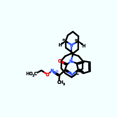 C/C(=N\OCC(=O)O)c1nc2ccccc2n(C2C[C@H]3CCC[C@@H](C2)N3C2CCCCCCCCC2)c1=O